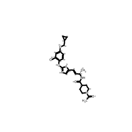 CC(=O)N1CCC(C(=O)N[C@@H](C)/C=C/c2cnc(Oc3ccc(OCC4CC4)cc3Cl)s2)CC1